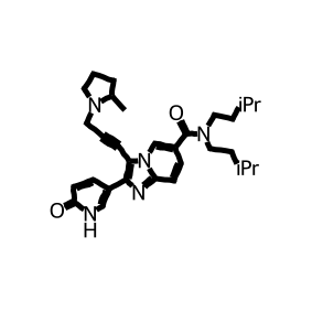 CC(C)CCN(CCC(C)C)C(=O)c1ccc2nc(-c3ccc(=O)[nH]c3)c(C#CCN3CCCC3C)n2c1